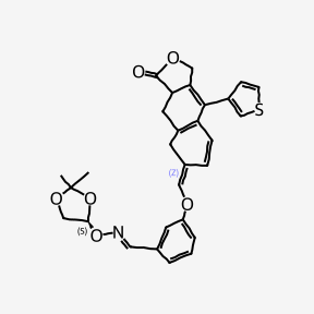 CC1(C)OC[C@H](ON=Cc2cccc(O/C=C3\C=CC4=C(C3)CC3C(=O)OCC3=C4c3ccsc3)c2)O1